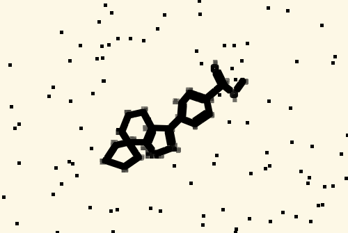 COC(=O)c1ccc(-c2n[nH]c3c2CCCC32CCCC2)cc1